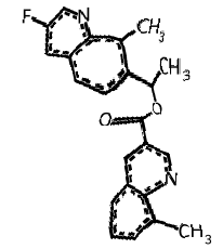 Cc1cccc2cc(C(=O)OC(C)c3ccc4cc(F)cnc4c3C)cnc12